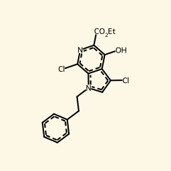 CCOC(=O)c1nc(Cl)c2c(c(Cl)cn2CCc2ccccc2)c1O